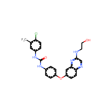 O=C(Nc1ccc(Oc2ccc3ncc(NCCO)nc3c2)cc1)Nc1ccc(Cl)c(C(F)(F)F)c1